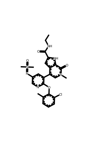 CCNC(=O)c1cc2c(-c3cc(N=S(C)(C)=O)cnc3Oc3c(C)cccc3Cl)cn(C)c(=O)c2[nH]1